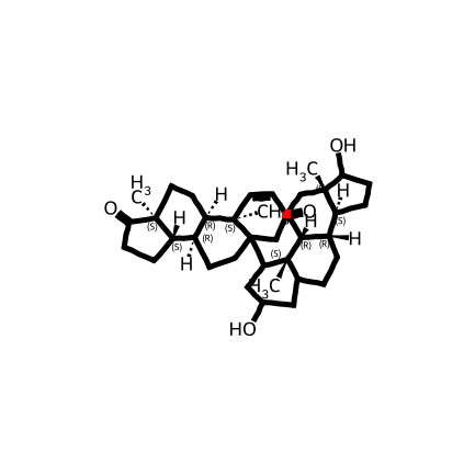 C[C@]12C(CC[C@@H]3[C@H]1CC[C@]1(C)C(O)CC[C@@H]31)CC(O)CC2C12CC[C@@H]3[C@@H](CC[C@]4(C)C(=O)CC[C@@H]34)[C@@]1(C)C=CC(=O)C2